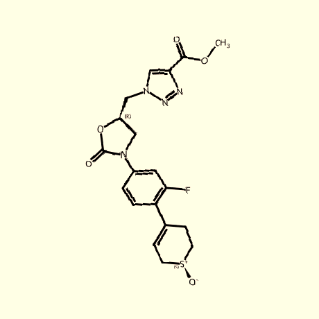 COC(=O)c1cn(C[C@H]2CN(c3ccc(C4=CC[S@+]([O-])CC4)c(F)c3)C(=O)O2)nn1